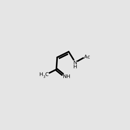 CC(=N)/C=C\NC(C)=O